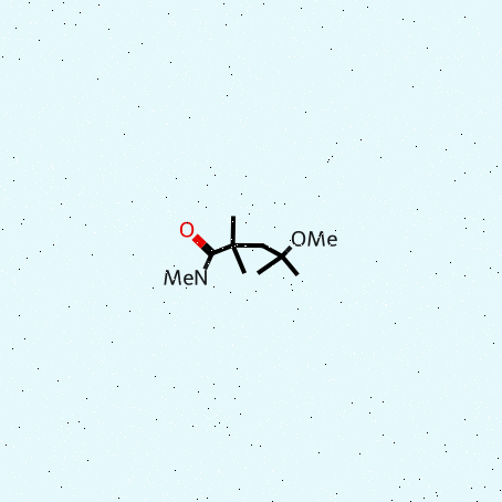 CNC(=O)C(C)(C)CC(C)(C)OC